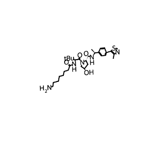 Cc1ncsc1-c1ccc([C@H](C)NC(=O)[C@@H]2C[C@@H](O)CN2C(=O)[C@@H](NC(=O)CCCCCCCN)C(C)(C)C)cc1